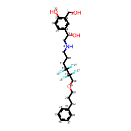 OCc1cc([C@@H](O)CNCCCC(F)(F)C(F)(F)COCCCc2ccccc2)ccc1O